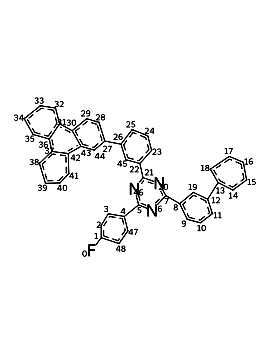 Fc1ccc(-c2nc(-c3cccc(-c4ccccc4)c3)nc(-c3cccc(-c4ccc5c6ccccc6c6ccccc6c5c4)c3)n2)cc1